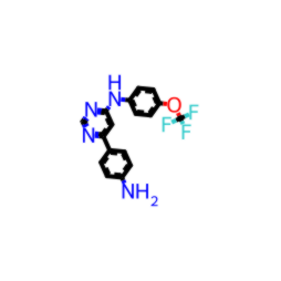 Nc1ccc(-c2cc(Nc3ccc(OC(F)(F)F)cc3)ncn2)cc1